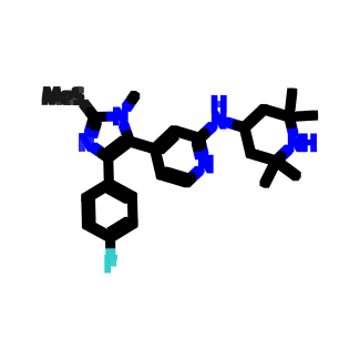 CSc1nc(-c2ccc(F)cc2)c(-c2ccnc(NC3CC(C)(C)NC(C)(C)C3)c2)n1C